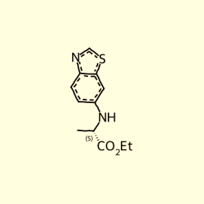 CCOC(=O)[C@H](C)Nc1ccc2ncsc2c1